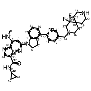 CNc1cc(N2CCc3c(-c4ccc(CN5CCC6(CCNCC6)C(F)(F)C5)cn4)cccc32)nn2c(C(=O)NC3CC3)cnc12